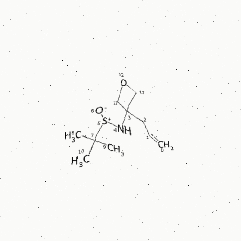 C=CCC1(N[S+]([O-])C(C)(C)C)COC1